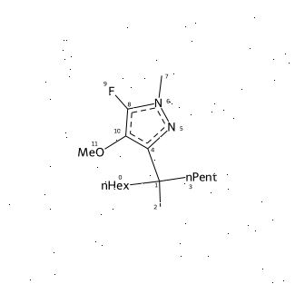 CCCCCCC(C)(CCCCC)c1nn(C)c(F)c1OC